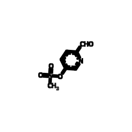 CS(=O)(=O)Oc1ccc(C=O)nc1